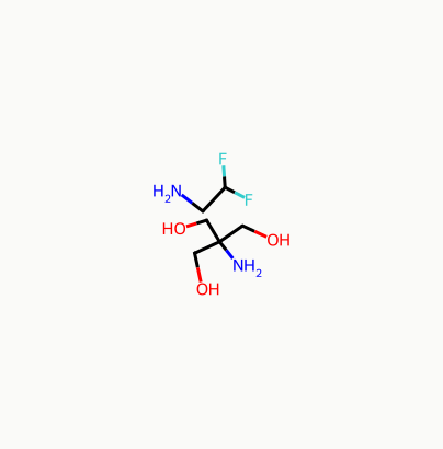 NC(CO)(CO)CO.NCC(F)F